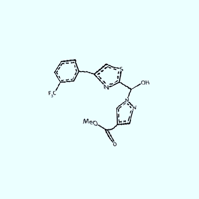 COC(=O)c1cnn(C(O)c2nc(-c3cccc(C(F)(F)F)c3)cs2)c1